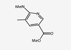 CNc1ncc(C(=O)OC)cc1C